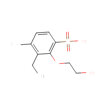 CCc1c(C)ccc(S(=O)(=O)O)c1OCCO